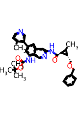 Cc1ccncc1-c1cc(NC(=O)OC(C)(C)C)c2cnc(NC(=O)[C@H]3C(C)[C@@H]3COCc3ccccc3)cc2c1